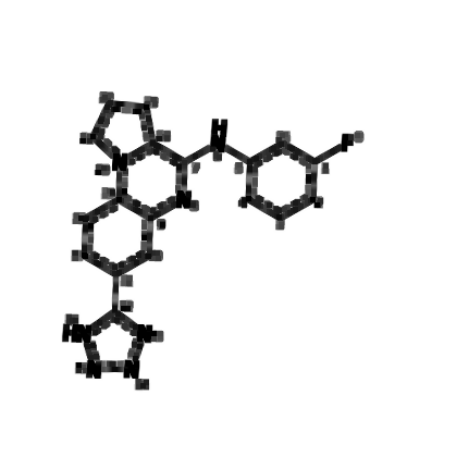 Fc1cccc(Nc2nc3cc(-c4nnn[nH]4)ccc3n3cccc23)c1